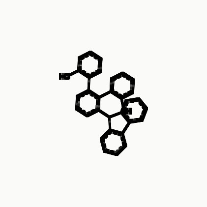 Oc1ccccc1-c1cccc(C2c3ccccc3-c3ccccc32)c1-c1ccccc1O